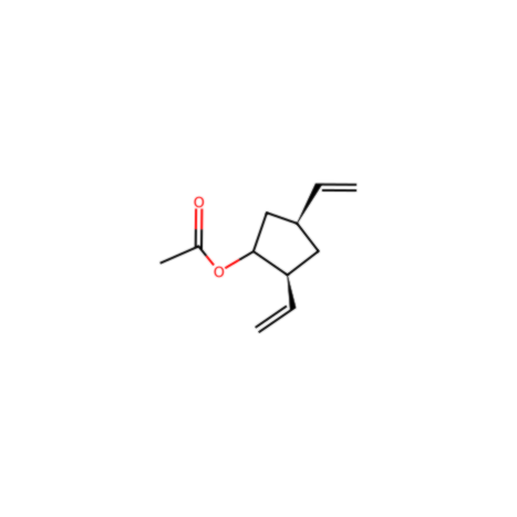 C=C[C@@H]1CC(OC(C)=O)[C@H](C=C)C1